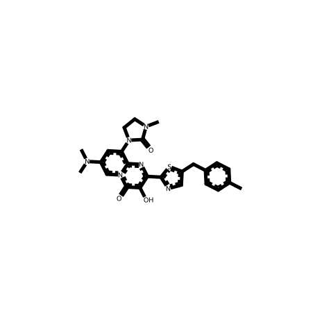 Cc1ccc(Cc2cnc(-c3nc4c(N5CCN(C)C5=O)cc(N(C)C)cn4c(=O)c3O)s2)cc1